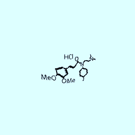 COc1ccc(C=CC(=O)N(CCN(C)C)[C@H]2CC[C@H](C)CC2)cc1OC.Cl